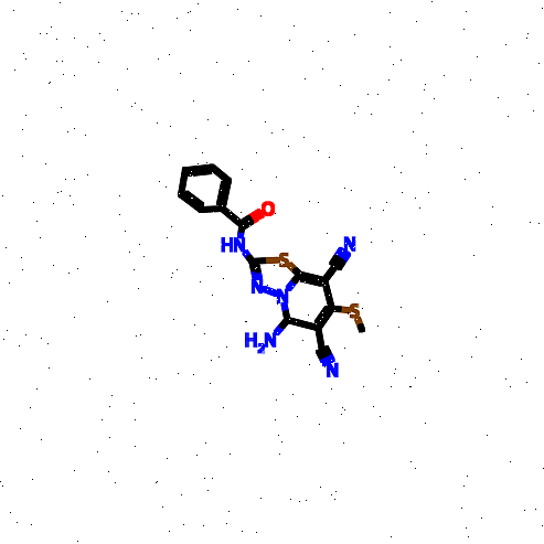 CSC1=C(C#N)C(N)N2N=C(NC(=O)c3ccccc3)SC2=C1C#N